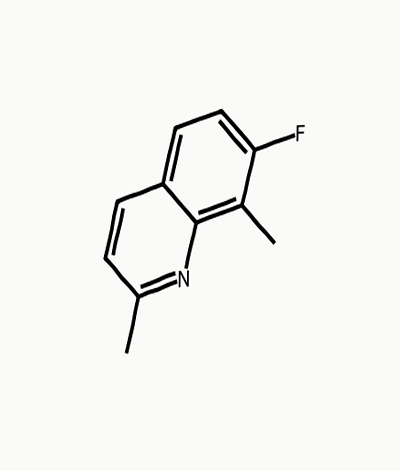 Cc1ccc2ccc(F)c(C)c2n1